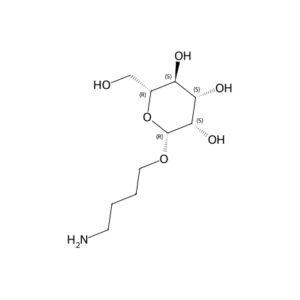 NCCCCO[C@@H]1O[C@H](CO)[C@@H](O)[C@H](O)[C@@H]1O